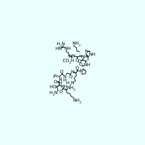 CC(C)C(NC(=O)[C@@H](NC(=O)[C@@H](N)CCCCN)[C@@H](O)CN)C(=O)NCC(=O)/N=C(\CCCN)C(=O)N1CCC[C@H]1C(=O)N[C@@H](Cc1cnc[nH]1)C(=O)N[C@@H](CCCCN)C(=O)N/C(=C\CCNC(=N)N)C(=O)O